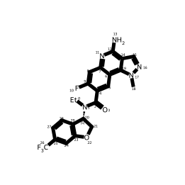 CCN(C(=O)c1cc2c(cc1F)nc(N)c1cnn(C)c12)[C@@H]1COc2cc(C(F)(F)F)ccc21